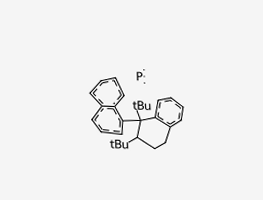 CC(C)(C)C1CCc2ccccc2C1(c1cccc2ccccc12)C(C)(C)C.[P]